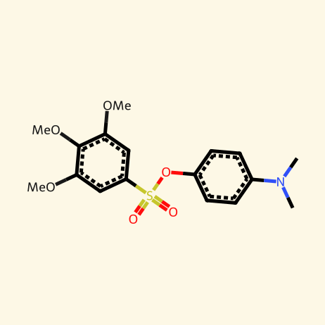 COc1cc(S(=O)(=O)Oc2ccc(N(C)C)cc2)cc(OC)c1OC